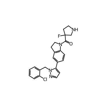 O=C(N1CCc2cc(-c3ccnn3Cc3ccccc3Cl)ccc21)C1(F)CCNC1